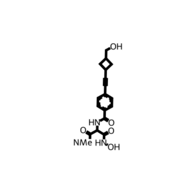 CNC(=O)C(NC(=O)c1ccc(C#CC2CC(CO)C2)cc1)C(=O)NO